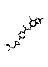 Cc1nc2c(F)cc(NC(=O)c3cnc(N4CC(CN(C)C=O)C4)cn3)cc2o1